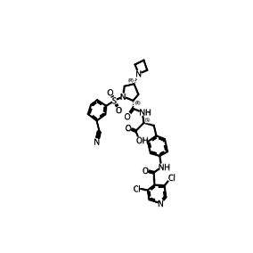 N#Cc1cccc(S(=O)(=O)N2C[C@H](N3CCC3)C[C@@H]2C(=O)N[C@@H](Cc2ccc(NC(=O)c3c(Cl)cncc3Cl)cc2)C(=O)O)c1